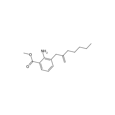 C=C(CCCCC)Cc1cccc(C(=O)OC)c1N